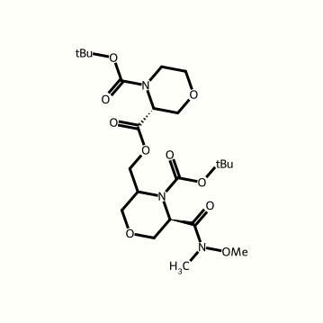 CON(C)C(=O)[C@H]1COCC(COC(=O)[C@H]2COCCN2C(=O)OC(C)(C)C)N1C(=O)OC(C)(C)C